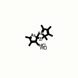 CC1=[As][C](C)([Zr][C]2(C)[As]=C(C)C(C)=C2C)C(C)=C1C.Cl.Cl